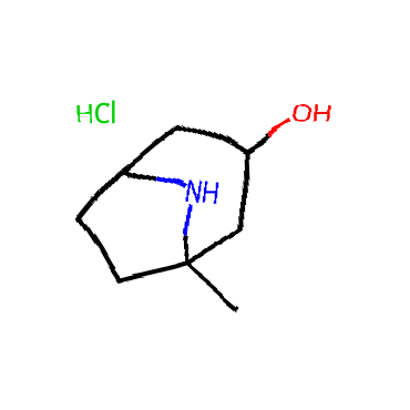 CC12CCC(CC(O)C1)N2.Cl